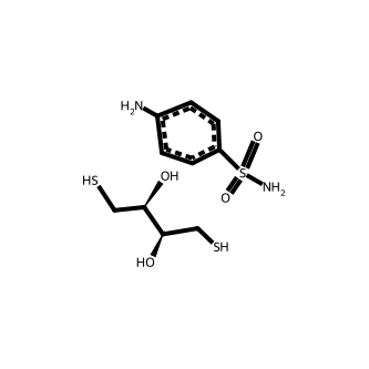 Nc1ccc(S(N)(=O)=O)cc1.O[C@H](CS)[C@H](O)CS